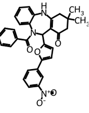 CC1(C)CC(=O)C2=C(C1)Nc1ccccc1N(C(=O)c1ccccc1)C2c1ccc(-c2cccc([N+](=O)[O-])c2)o1